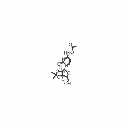 CC(=O)ONc1ccn([C@@H]2OC(CO)[C@H]3OC(C)(C)O[C@H]32)c(=O)n1